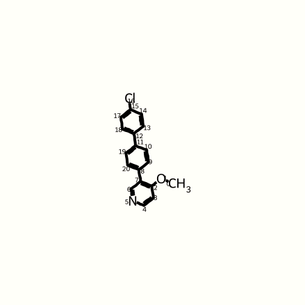 COc1ccncc1-c1ccc(-c2ccc(Cl)cc2)cc1